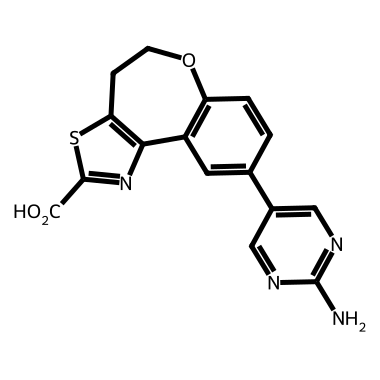 Nc1ncc(-c2ccc3c(c2)-c2nc(C(=O)O)sc2CCO3)cn1